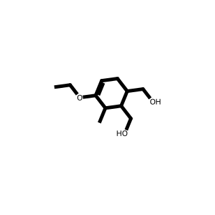 CCOC1=CCC(CO)C(CO)C1C